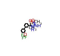 CN1C(=N)N[C@](C)(c2cccc(-c3cccc(OC(F)(F)F)c3)c2)CS1(=O)=O